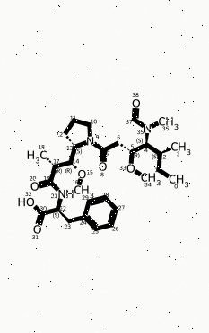 CC[C@H](C)[C@@H]([C@@H](CC(=O)N1CCC[C@H]1[C@H](OC)[C@@H](C)C(=O)N[C@@H](Cc1ccccc1)C(=O)O)OC)N(C)C=O